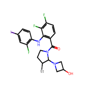 CCC1CCN(C(=O)c2ccc(F)c(F)c2Nc2ccc(I)cc2F)C1N1CC(O)C1